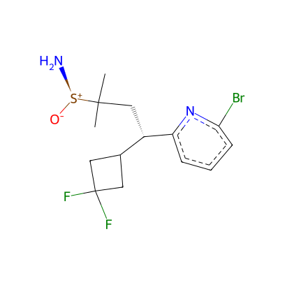 CC(C)(C[C@H](c1cccc(Br)n1)C1CC(F)(F)C1)[S@+](N)[O-]